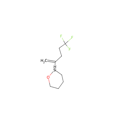 C=C(CCC(F)(F)F)[SiH]1CCCCO1